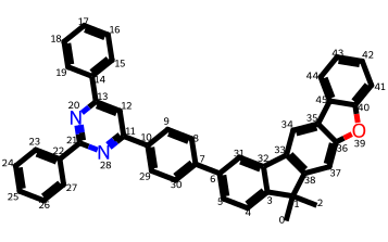 CC1(C)c2ccc(-c3ccc(-c4cc(-c5ccccc5)nc(-c5ccccc5)n4)cc3)cc2-c2cc3c(cc21)oc1ccccc13